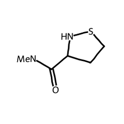 CNC(=O)C1CCSN1